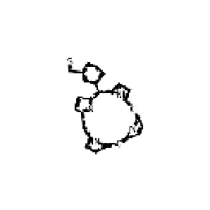 S=Cc1cccc(-c2c3nc(cc4ccc(cc5nc(cc6ccc2[nH]6)C=C5)[nH]4)C=C3)c1